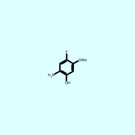 COc1cc(O)c(N)cc1F